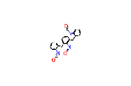 O=C=Nc1ccccc1Cc1cccc(Cc2ccccc2N=C=O)c1N=C=O